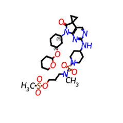 CN(CCCOS(C)(=O)=O)S(=O)(=O)N1CCC(Nc2ncc3c(n2)N([C@@H]2CCC[C@@H](OC4CCCCO4)C2)C(=O)C32CC2)CC1